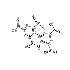 O=C(Cl)c1cc(C(=O)Cl)cc(-c2c(C(=O)Cl)cc(C(=O)Cl)cc2C(=O)Cl)c1